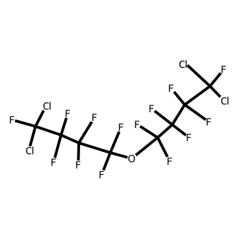 FC(Cl)(Cl)C(F)(F)C(F)(F)C(F)(F)OC(F)(F)C(F)(F)C(F)(F)C(F)(Cl)Cl